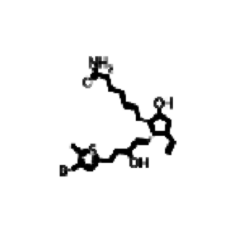 C=CC1CC(O)[C@H](CC=CCCCC(N)=O)[C@H]1C=CC(O)CCc1cc(Br)c(C)s1